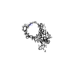 C=C[C@@H]1C[C@]1(NC(=O)[C@@H]1C[C@@H]2CN1C(=O)[C@H](C(C)(C)C)NC(=O)N(C)CCC/C=C\c1cccc3c1CN(C3)C(=O)O2)C(=O)NS(=O)(=O)C1CC1